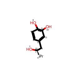 CC(C)[C@@H](O)Cc1ccc(O)c(O)c1